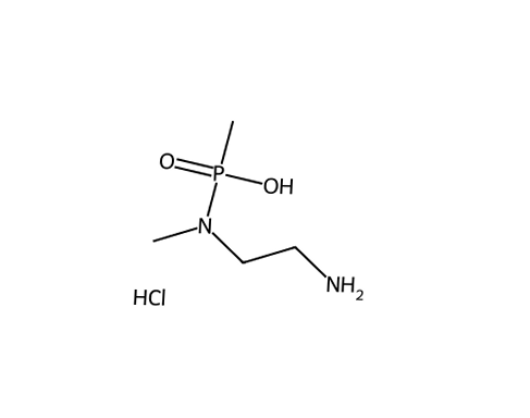 CN(CCN)P(C)(=O)O.Cl